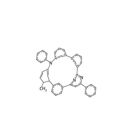 CC1C=CC2=CC1c1cccc(c1)-c1cc(-c3ccccc3)nc(n1)-c1cccc(c1)-c1cccc(c1)N2c1ccccc1